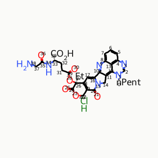 CCCCCN1C=Nc2cccc3nc4c(c1c23)Cn1c-4cc2c(c1=O)COC(=O)[C@@]2(CC)OC(=O)CC[C@H](NC(=O)CN)C(=O)O.Cl